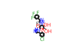 CCO[C@@H]1[C@@H](n2cc(-c3cc(F)c(F)c(F)c3)nn2)[C@@H](O)[C@@H](CO)O[C@H]1n1nncc1-c1cccc(Cl)c1